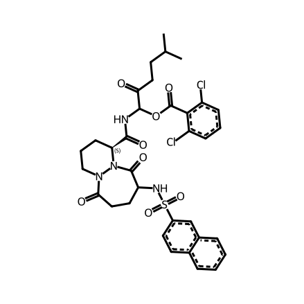 CC(C)CCC(=O)C(NC(=O)[C@@H]1CCCN2C(=O)CCC(NS(=O)(=O)c3ccc4ccccc4c3)C(=O)N12)OC(=O)c1c(Cl)cccc1Cl